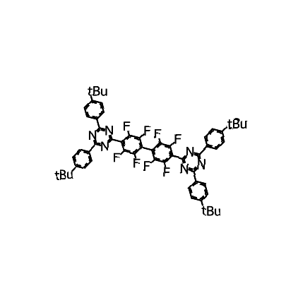 CC(C)(C)c1ccc(-c2nc(-c3ccc(C(C)(C)C)cc3)nc(-c3c(F)c(F)c(-c4c(F)c(F)c(-c5nc(-c6ccc(C(C)(C)C)cc6)nc(-c6ccc(C(C)(C)C)cc6)n5)c(F)c4F)c(F)c3F)n2)cc1